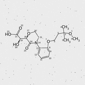 COC(C)(C)CCOc1ccccc1N1CCO[C@H]([C@@H](O)C(=O)O)C1=O